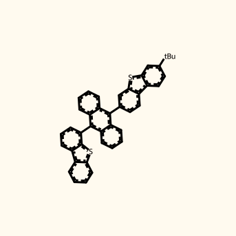 CC(C)(C)c1ccc2c(c1)sc1cc(-c3c4ccccc4c(-c4cccc5c4sc4ccccc45)c4ccccc34)ccc12